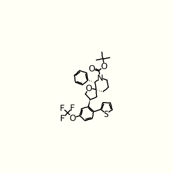 CC(C)(C)OC(=O)N1CCC[C@@]2(C[C@@H](c3cc(OC(F)(F)F)ccc3-c3cccs3)CO2)[C@@H]1c1ccccc1